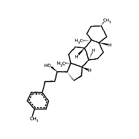 Cc1ccc(CC[C@@H](O)[C@H]2CC[C@H]3[C@@H]4CC[C@H]5C[C@@H](C)CC[C@]5(C)[C@H]4CC[C@]23C)cc1